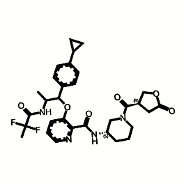 CC(NC(=O)C(C)(F)F)C(Oc1cccnc1C(=O)N[C@H]1CCCN(C(=O)[C@H]2COC(=O)C2)C1)c1ccc(C2CC2)cc1